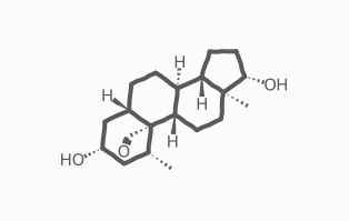 C[C@@H]1C[C@H](O)C[C@@H]2CC[C@H]3[C@@H]4CC[C@H](O)[C@@]4(C)CC[C@@H]3[C@]21C=O